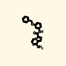 Nc1nccn2c(C(=O)Nc3cccc(OCc4ccccc4)c3)ncc12